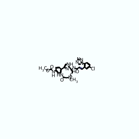 COC(=O)Nc1ccc2c(c1)NC(=O)CN(C)CC[C@H](NC(=O)/C=C/c1cc(Cl)ccc1-n1cnnn1)c1nc-2c[nH]1